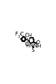 Cc1c(N2CCCc3c([nH]c(=S)[nH]c3=O)C2=O)cccc1C(F)(F)F